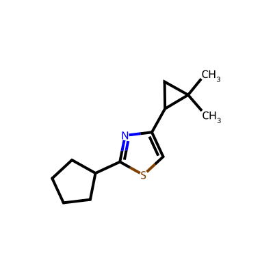 CC1(C)CC1c1csc(C2CCCC2)n1